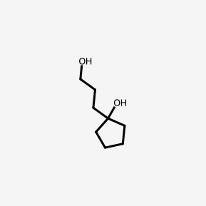 OCCCC1(O)CCCC1